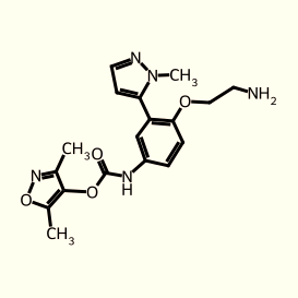 Cc1noc(C)c1OC(=O)Nc1ccc(OCCN)c(-c2ccnn2C)c1